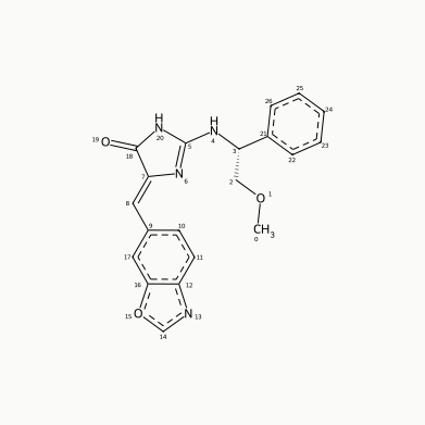 COC[C@H](NC1=N/C(=C\c2ccc3ncoc3c2)C(=O)N1)c1ccccc1